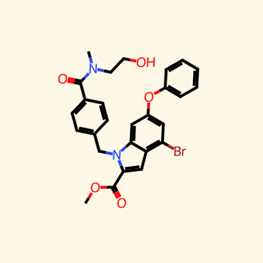 COC(=O)c1cc2c(Br)cc(Oc3ccccc3)cc2n1Cc1ccc(C(=O)N(C)CCO)cc1